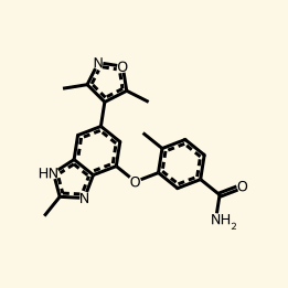 Cc1nc2c(Oc3cc(C(N)=O)ccc3C)cc(-c3c(C)noc3C)cc2[nH]1